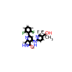 C[C@@](O)(c1ccc(Nc2cc(-c3c(F)cccc3F)nc3c2C(=O)NC3)nc1)C(F)(F)F